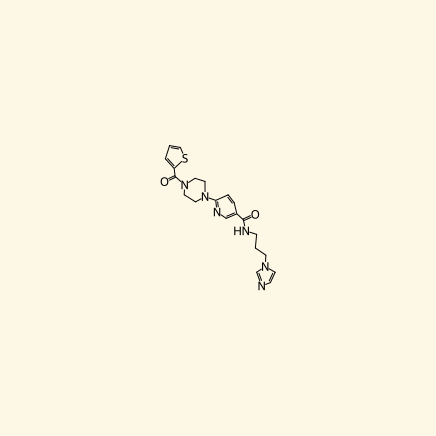 O=C(NCCCn1ccnc1)c1ccc(N2CCN(C(=O)c3cccs3)CC2)nc1